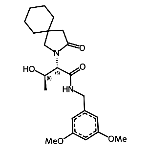 COc1cc(CNC(=O)[C@H]([C@@H](C)O)N2CC3(CCCCC3)CC2=O)cc(OC)c1